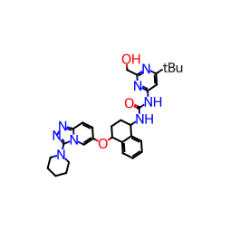 CC(C)(C)c1cc(NC(=O)NC2CCC(Oc3ccc4nnc(N5CCCCC5)n4c3)c3ccccc32)nc(CO)n1